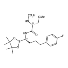 COC[C@@H](NC(=O)O)C(=O)N[C@@H](CCCc1ccc(F)cc1)B1OC(C)(C)C(C)(C)O1